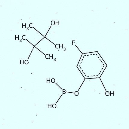 CC(C)(O)C(C)(C)O.OB(O)Oc1cc(F)ccc1O